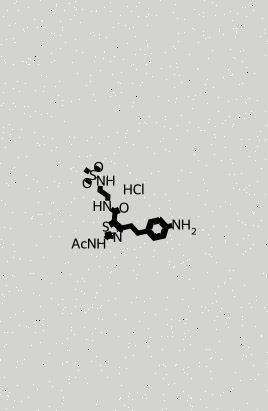 CC(=O)Nc1nc(CCc2ccc(N)cc2)c(C(=O)NCCNS(C)(=O)=O)s1.Cl